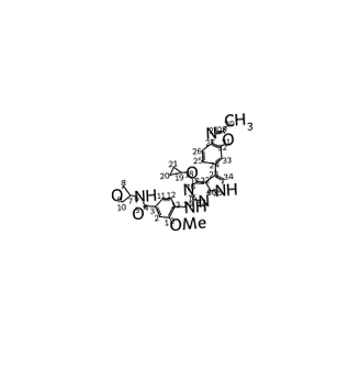 COc1cc(C(=O)NC2COC2)ccc1Nc1nc(OC2CC2)c2c(-c3ccc4nc(C)oc4c3)c[nH]c2n1